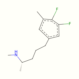 CN[C@@H](C)CCCc1cc(C)c(F)c(F)c1